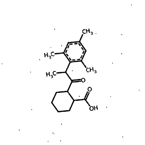 Cc1cc(C)c(C(C)C(=O)C2CCCCC2C(=O)O)c(C)c1